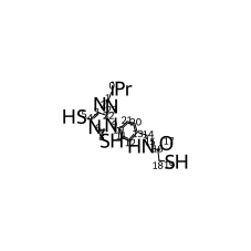 CC(C)c1nc2c(S)nc(S)n(-c3ccc(CNC(=O)CS)cc3)c-2n1